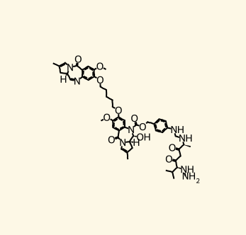 COc1cc2c(cc1OCCCCCOc1cc3c(cc1OC)C(=O)N1C=C(C)C[C@H]1[C@H](O)N3C(=O)OCc1ccc(NCN[C@@H](C)C(=O)CC(=O)[C@@H](NN)C(C)C)cc1)N=C[C@@H]1CC(C)=CN1C2=O